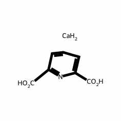 O=C(O)c1cccc(C(=O)O)n1.[CaH2]